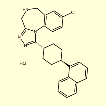 Cl.Clc1ccc2c(c1)CNCc1nnc([C@H]3CC[C@H](c4cccc5ccccc54)CC3)n1-2